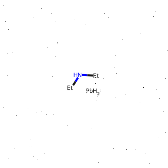 CCNCC.[PbH2]